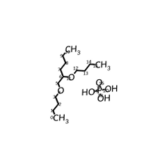 CCCCOCC(CCCC)OCCCC.O=P(O)(O)O